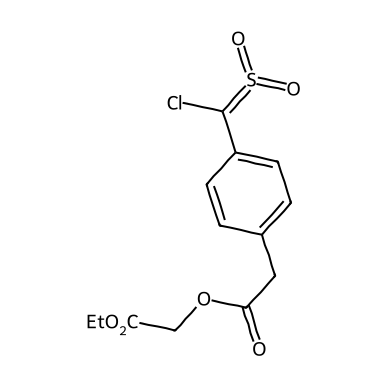 CCOC(=O)COC(=O)Cc1ccc(C(Cl)=S(=O)=O)cc1